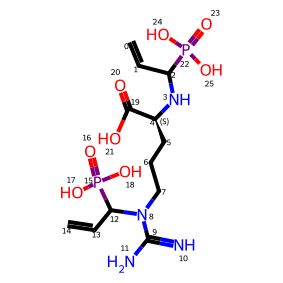 C=CC(N[C@@H](CCCN(C(=N)N)C(C=C)P(=O)(O)O)C(=O)O)P(=O)(O)O